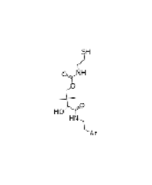 CC(=O)CCNC(=O)[C@H](O)C(C)(C)COC(=O)NCCS